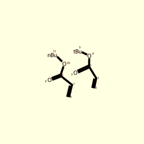 C=CC(=O)OC(C)(C)C.C=CC(=O)OCCCC